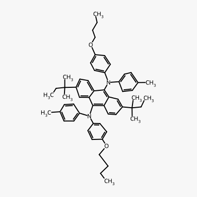 CCCCOc1ccc(N(c2ccc(C)cc2)c2c3ccc(C(C)(C)CC)cc3c(N(c3ccc(C)cc3)c3ccc(OCCCC)cc3)c3ccc(C(C)(C)CC)cc23)cc1